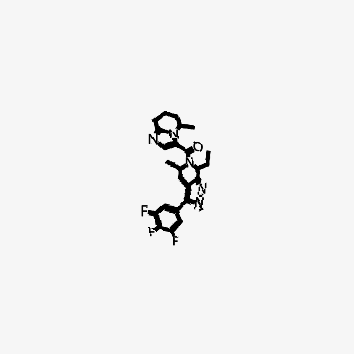 CCC1c2nn(C)c(-c3cc(F)c(F)c(F)c3)c2CC(C)N1C(=O)c1cnc2n1C(C)CCC2